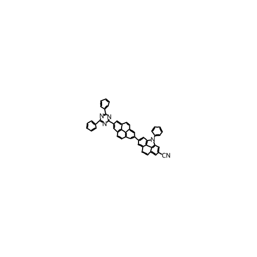 N#Cc1cc2ccc3cc(-c4cc5ccc6cc(-c7nc(-c8ccccc8)nc(-c8ccccc8)n7)cc7ccc(c4)c5c67)cc4c3c2c(c1)n4-c1ccccc1